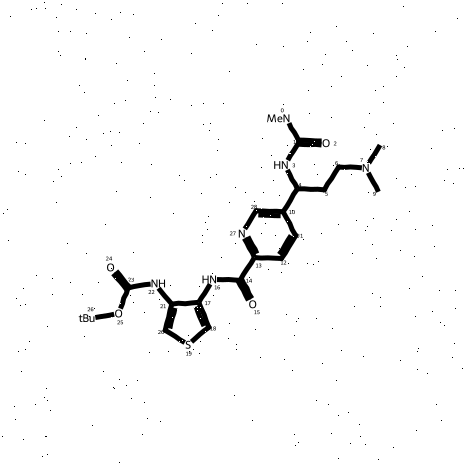 CNC(=O)NC(CCN(C)C)c1ccc(C(=O)Nc2cscc2NC(=O)OC(C)(C)C)nc1